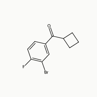 O=C(c1ccc(F)c(Br)c1)C1CCC1